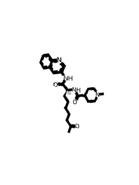 CC(=O)CCCCC[C@H](NC(=O)C1CCN(C)CC1)C(=O)Nc1cnc2ccccc2c1